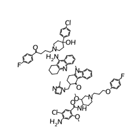 COc1cc(N)c(Cl)cc1C(=O)NC1CCN(CCCOc2ccc(F)cc2)CC1OC.Cc1nccn1CC1CCc2c(c3ccccc3n2C)C1=O.Nc1c2c(nc3ccccc13)CCCC2.O=C(CCCN1CCC(O)(c2ccc(Cl)cc2)CC1)c1ccc(F)cc1